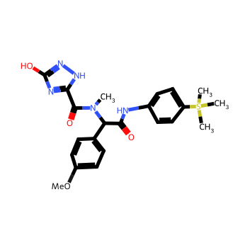 COc1ccc(C(C(=O)Nc2ccc(S(C)(C)C)cc2)N(C)C(=O)c2nc(O)n[nH]2)cc1